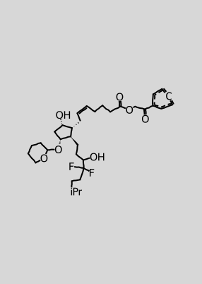 CC(C)CCC(F)(F)C(O)CC[C@@H]1[C@@H](C/C=C\CCCC(=O)OCC(=O)c2ccccc2)[C@@H](O)C[C@H]1OC1CCCCO1